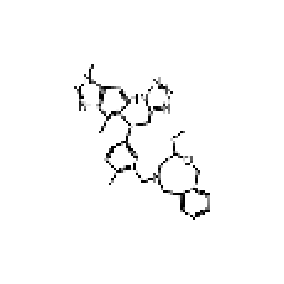 CCC1CN(Cc2cc(C(Cc3nnn[nH]3)c3ccc4c(nnn4C)c3C)ccc2C)Cc2ccccc2CO1